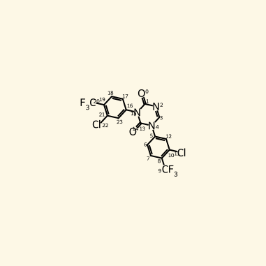 O=c1ncn(-c2ccc(C(F)(F)F)c(Cl)c2)c(=O)n1-c1ccc(C(F)(F)F)c(Cl)c1